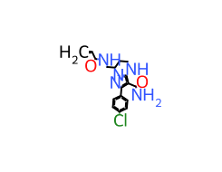 C=CC(=O)NCC1CCNc2c(C(N)=O)c(-c3ccc(Cl)cc3)nn21